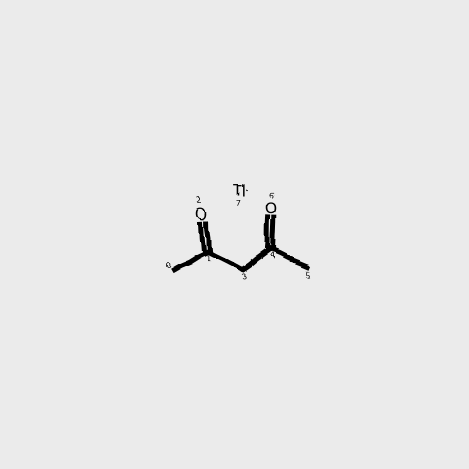 CC(=O)CC(C)=O.[Tl]